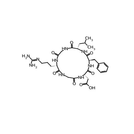 CC(C)C[C@@H]1NC(=O)[C@@H](Cc2ccccc2)NC(=O)[C@H](CC(=O)O)NC(=O)CNC(=O)[C@H](CCCN=C(N)N)NC(=O)CNC1=O